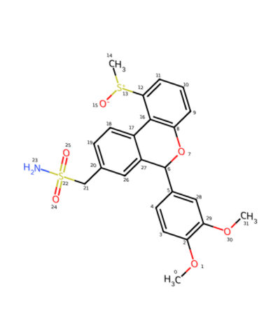 COc1ccc(C2Oc3cccc([S+](C)[O-])c3-c3ccc(CS(N)(=O)=O)cc32)cc1OC